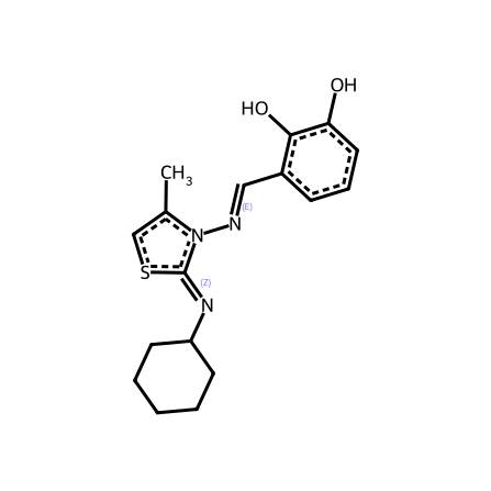 Cc1cs/c(=N\C2CCCCC2)n1/N=C/c1cccc(O)c1O